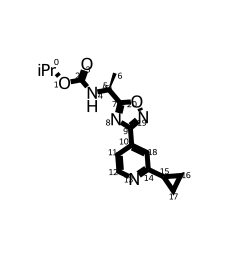 CC(C)OC(=O)N[C@@H](C)c1nc(-c2ccnc(C3CC3)c2)no1